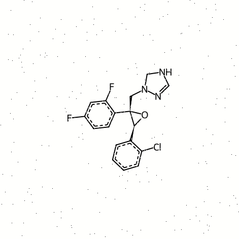 Fc1ccc([C@]2(CN3CNC=N3)O[C@H]2c2ccccc2Cl)c(F)c1